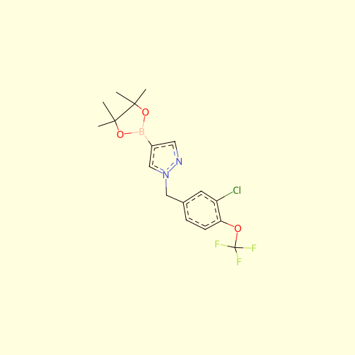 CC1(C)OB(c2cnn(Cc3ccc(OC(F)(F)F)c(Cl)c3)c2)OC1(C)C